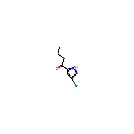 CCCC(=O)c1cc(Br)c[nH]1